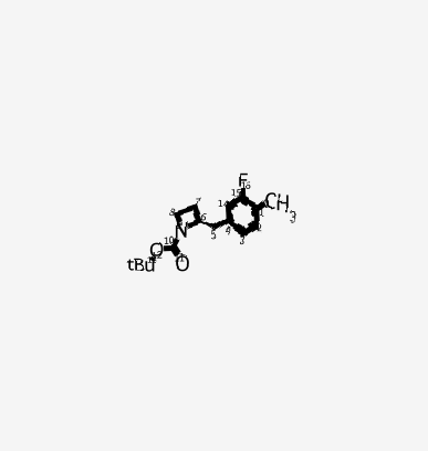 Cc1ccc(C[C@@H]2CCN2C(=O)OC(C)(C)C)cc1F